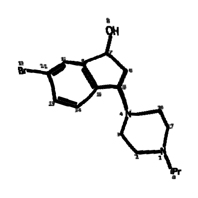 CC(C)N1CCN(C2CC(O)c3cc(Br)ccc32)CC1